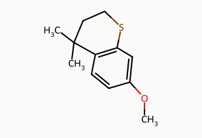 COc1ccc2c(c1)SCCC2(C)C